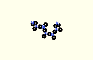 c1ccc(N(c2ccc(N(c3ccccc3)c3ccc(N(c4ccccc4)c4cccc5ncccc45)cc3)cc2)c2ccc(N(c3ccccc3)c3ccc(N(c4ccccc4)c4cccc5ncccc45)cc3)cc2)cc1